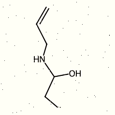 [CH2]CC(O)NCC=C